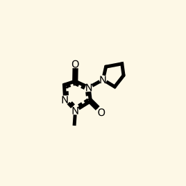 Cn1ncc(=O)n(N2CCCC2)c1=O